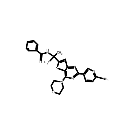 CC(C)(NC(=O)c1ccccc1)c1cc2nc(-c3ccc(N)nc3)nc(N3CCOCC3)c2s1